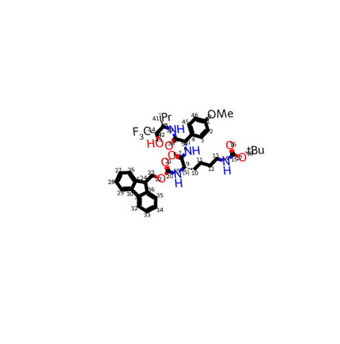 COc1ccc([C@H](NC(=O)[C@H](CCCCNC(=O)OC(C)(C)C)NC(=O)OCC2c3ccccc3-c3ccccc32)C(=O)N[C@@H](C(C)C)[C@H](O)C(F)(F)F)cc1